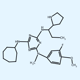 CCC(Nc1nc(NC2CCCCCC2)nc(N(C)c2ccc(OC)c(F)c2)n1)C1CCCN1